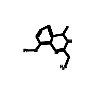 CC(C)Oc1cccc2c1N=C(CN)NC2C